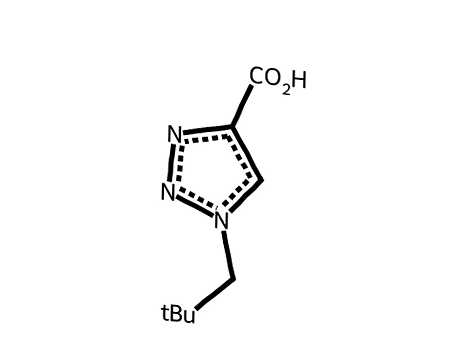 CC(C)(C)Cn1cc(C(=O)O)nn1